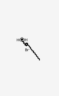 CCCCCCCCCCCCCCCCc1cc[n+](CCCP(=O)(O)O)cc1.[Br-]